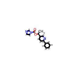 CC(OC(=O)n1ccnc1)c1ccc(-c2ccccc2)nc1